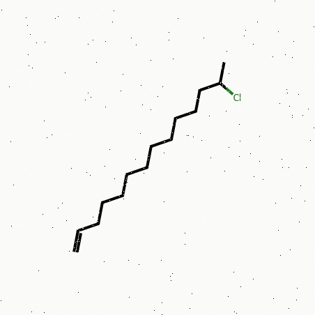 C=CCCCCCCCCCCC(C)Cl